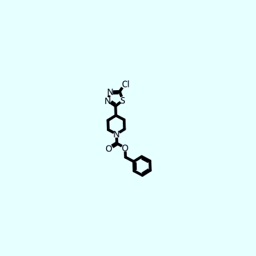 O=C(OCc1ccccc1)N1CCC(c2nnc(Cl)s2)CC1